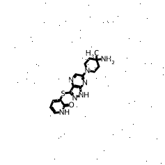 CC1(N)CCN(c2cnc3c(Sc4ccc[nH]c4=O)n[nH]c3n2)CC1